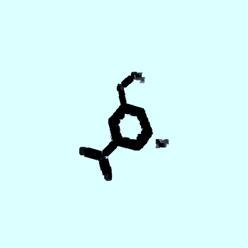 COc1[c]ccc([S-](=O)=O)c1.[Na+]